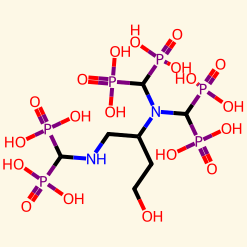 O=P(O)(O)C(NCC(CCO)N(C(P(=O)(O)O)P(=O)(O)O)C(P(=O)(O)O)P(=O)(O)O)P(=O)(O)O